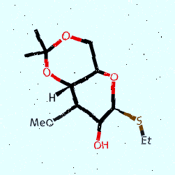 CCS[C@@H]1OC2COC(C)(C)O[C@H]2C(OC)C1O